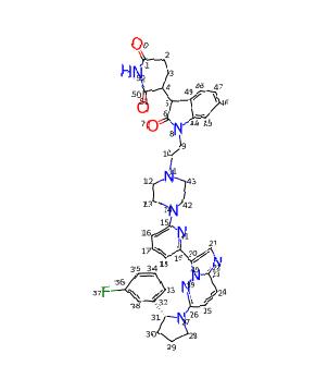 O=C1CCC(C2C(=O)N(CCN3CCN(c4cccc(-c5cnc6ccc(N7CCC[C@@H]7c7cccc(F)c7)nn56)n4)CC3)c3ccccc32)C(=O)N1